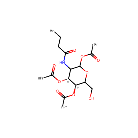 CCCC(=O)OC1OC(CO)[C@@H](OC(=O)CCC)[C@H](OC(=O)CCC)C1NC(=O)CCC(C)=O